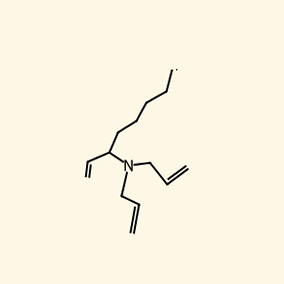 [CH2]CCCCC(C=C)N(CC=C)CC=C